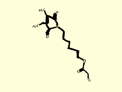 CC1=C(C)C(=O)N(CCCCCCOC(=O)CCl)C1=O